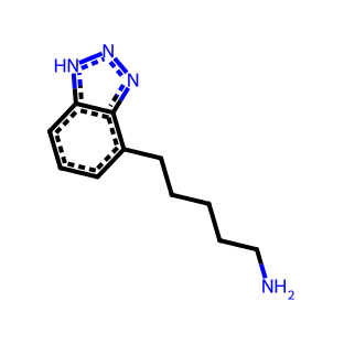 NCCCCCc1cccc2[nH]nnc12